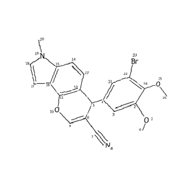 COc1cc(C2C(C#N)=COc3c2ccc2c3ccn2C)cc(Br)c1OC